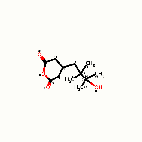 CC(C)(CC1CC(=O)OC(=O)C1)[Si](C)(C)O